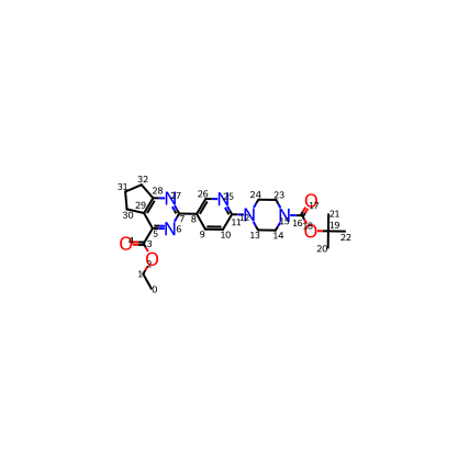 CCOC(=O)c1nc(-c2ccc(N3CCN(C(=O)OC(C)(C)C)CC3)nc2)nc2c1CCC2